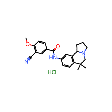 COc1ccc(C(=O)Nc2ccc3c(c2)C2CCCN2CC3(C)C)cc1C#N.Cl